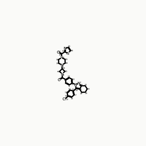 O=C(c1ccc(-n2nc3c(c2-c2ccc(Cl)cc2)CCCC3)cc1)N1CC(N2CCN(C(=O)c3nccs3)CC2)C1